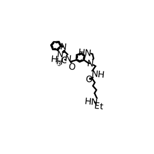 CCNCCCCCC(=O)NCCN1CCNc2ccc(C(=O)N(C)Cc3nc4ccccc4[nH]3)cc2C1